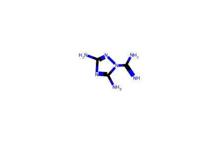 N=C(N)n1nc(N)nc1N